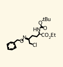 CCOC(=O)[C@@H](CC/C(CCl)=N/OCc1ccccc1)NC(=O)OC(C)(C)C